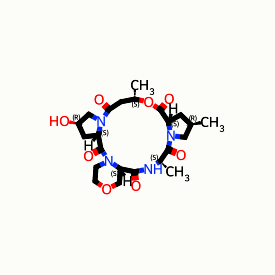 C[C@@H]1C[C@H]2C(=O)O[C@@H](C)CC(=O)N3C[C@H](O)C[C@H]3C(=O)N3CCOC[C@H]3C(=O)N[C@@H](C)C(=O)N2C1